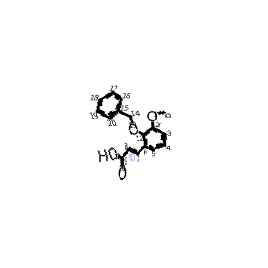 COc1cccc(/C=C/C(=O)O)c1OCc1ccccc1